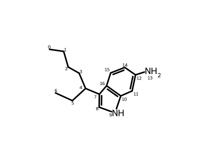 CCCCC(CC)c1c[nH]c2cc(N)ccc12